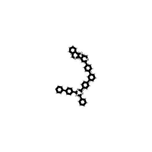 c1ccc(-c2ccc(-c3nc(-c4ccccc4)nc(-c4ccc(-c5cccc(-c6ccc(-c7cc8c(cn7)oc7c9ccccc9cnc87)cc6)c5)cc4)n3)cc2)cc1